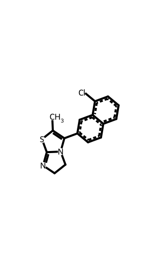 CC1=C(c2ccc3cccc(Cl)c3c2)N2CCN=C2S1